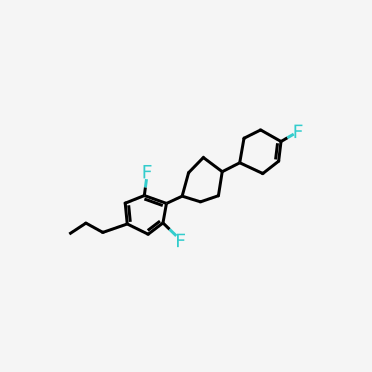 CCCc1cc(F)c(C2CCC(C3CC=C(F)CC3)CC2)c(F)c1